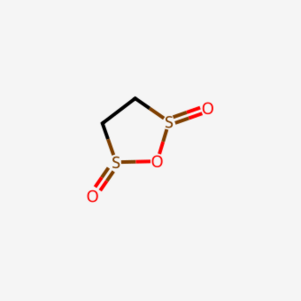 O=S1CCS(=O)O1